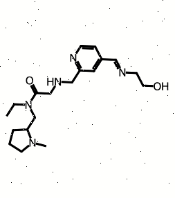 CCN(CC1CCCN1C)C(=O)CNCc1cc(C=NCCO)ccn1